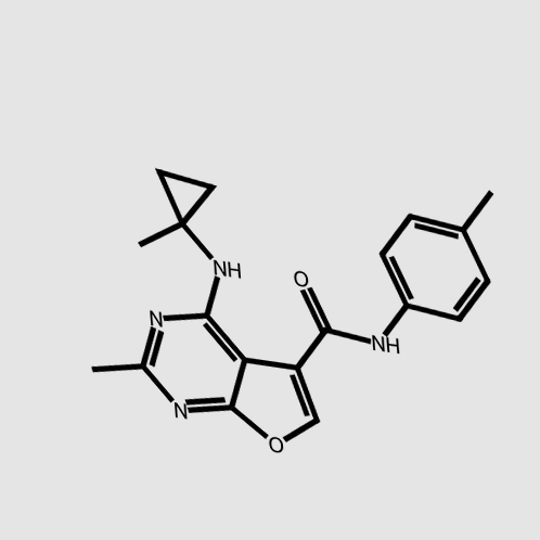 Cc1ccc(NC(=O)c2coc3nc(C)nc(NC4(C)CC4)c23)cc1